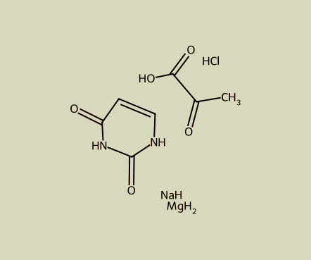 CC(=O)C(=O)O.Cl.O=c1cc[nH]c(=O)[nH]1.[MgH2].[NaH]